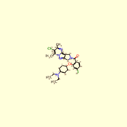 CCN(CC)[C@H]1CC[C@@H](Oc2cc(F)ccc2C(=O)N2Cc3nn4c(C)c(Cl)c(C)nc4c3C2)CC1